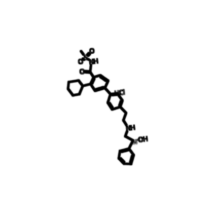 CS(=O)(=O)NC(=O)c1ccc(-c2ccc(CCNC[C@H](O)c3ccccc3)cc2)cc1C1CCCCC1.Cl